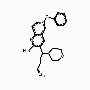 C=CCCC(c1cc2cc(Oc3ccccc3)ccc2nc1N)C1CCOCC1